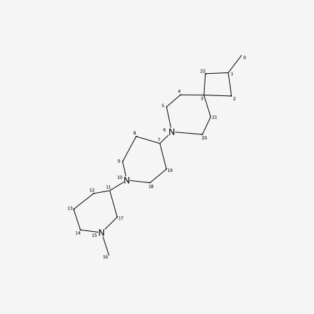 CC1CC2(CCN(C3CCN(C4CCCN(C)C4)CC3)CC2)C1